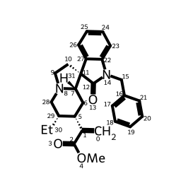 C=C(C(=O)OC)[C@H]1C[C@@H]2N(CC[C@]23C(=O)N(Cc2ccccc2)c2ccccc23)C[C@H]1CC